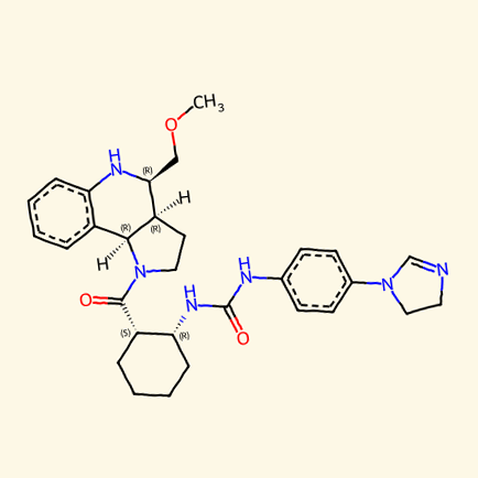 COC[C@@H]1Nc2ccccc2[C@H]2[C@@H]1CCN2C(=O)[C@H]1CCCC[C@H]1NC(=O)Nc1ccc(N2C=NCC2)cc1